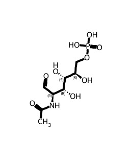 CC(=O)N[C@@H](C=O)[C@@H](O)[C@H](O)[C@H](O)COP(=O)(O)O